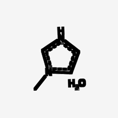 C[n+]1cc[nH]c1.O